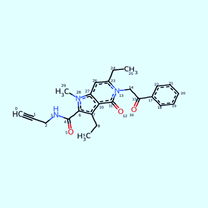 C#CCNC(=O)c1c(CC)c2c(=O)n(CC(=O)c3ccccc3)c(CC)cc2n1C